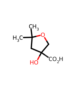 CC1(C)CC(O)(C(=O)O)CO1